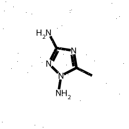 Cc1nc(N)nn1N